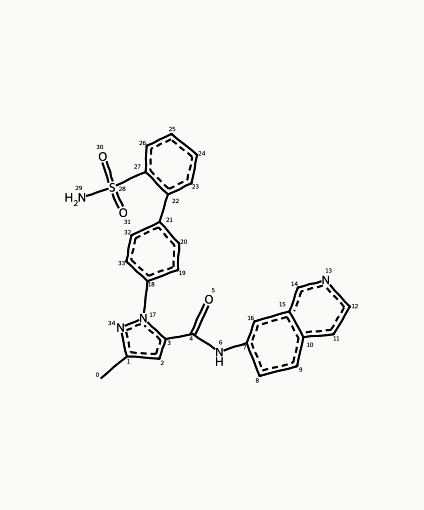 Cc1cc(C(=O)Nc2ccc3ccncc3c2)n(-c2ccc(-c3ccccc3S(N)(=O)=O)cc2)n1